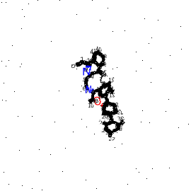 C=CC1=NC2CC/N=C(/C=C)c3c(cc(C)c4c3oc3cc(-c5c(C)cc(C)cc5C)ccc34)CCC2c2ccccc21